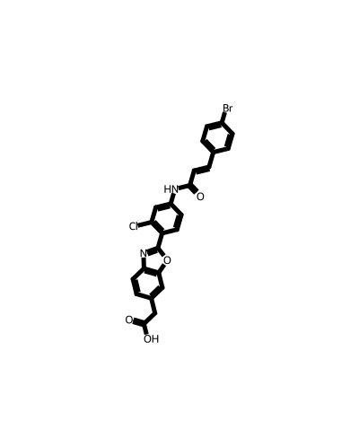 O=C(O)Cc1ccc2nc(-c3ccc(NC(=O)C=Cc4ccc(Br)cc4)cc3Cl)oc2c1